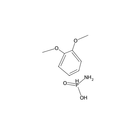 COc1ccccc1OC.N[PH](=O)O